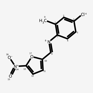 Cc1cc(Cl)ccc1N=Cc1ccc([N+](=O)[O-])o1